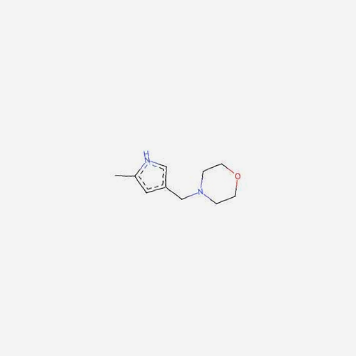 Cc1cc(CN2CCOCC2)c[nH]1